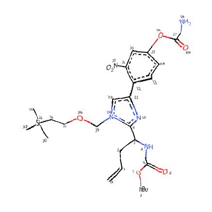 C=CCC(NC(=O)OCCCC)c1nc(-c2ccc(OC(N)=O)cc2[N+](=O)[O-])cn1COCC[Si](C)(C)C